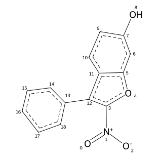 O=[N+]([O-])c1oc2cc(O)ccc2c1-c1ccccc1